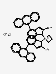 CCCC1=Cc2c(-c3c4ccccc4cc4ccccc34)cccc2[CH]1[Zr+2]1([CH]2C(CCC)=Cc3c(-c4c5ccccc5cc5ccccc45)cccc32)[CH2]C[CH2]1.[Cl-].[Cl-]